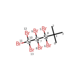 CC(C)(C)[Si](Br)(Br)[Si](Br)(Br)[Si](Br)(Br)Br